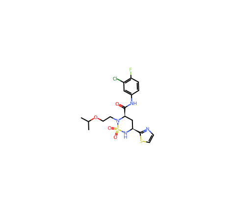 CC(C)OCCN1[C@@H](C(=O)Nc2ccc(F)c(Cl)c2)C[C@@H](c2nccs2)NS1(=O)=O